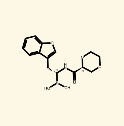 O=C(N[C@@H](Cc1coc2ccccc12)B(O)O)[C@@H]1COCCO1